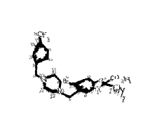 CC(C)(Oc1ccc(CN2CCN(Cc3ccc(C(F)(F)F)cc3)CC2)c(Br)c1)C(=O)O